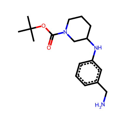 CC(C)(C)OC(=O)N1CCCC(Nc2cccc(CN)c2)C1